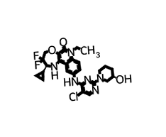 CCn1c(=O)c2c(c3cc(Nc4nc(N5CCC[C@@H](O)C5)ncc4Cl)ccc31)N[C@@H](C1CC1)C(F)(F)CO2